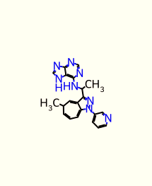 CC1C=CC=c2c(c(C(C)Nc3ncnc4nc[nH]c34)nn2-c2cccnc2)=C1